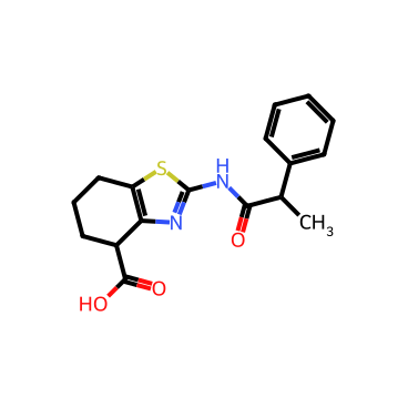 CC(C(=O)Nc1nc2c(s1)CCCC2C(=O)O)c1ccccc1